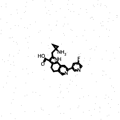 NC1(Cc2[nH]c3c(c2C(=O)O)CCc2cnc(-c4cncc(F)c4)cc2-3)CC1